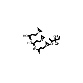 CCC(O)(O)C(C)O.O=C(O)CCN1CC1.O=C(O)CCN1CC1.O=C(O)CCN1CC1